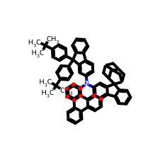 CC(C)(C)c1ccc(C2(c3ccc(C(C)(C)C)cc3)c3ccccc3-c3ccc(N(c4ccc5c(c4)C4(c6ccccc6-5)C5CC6CC(C5)CC4C6)c4ccccc4-c4ccccc4-c4ccccc4-c4ccccc4)cc32)cc1